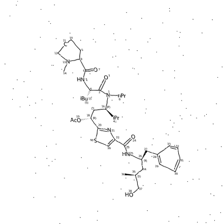 CCCN(C(=O)C(NC(=O)C1CCCCN1C)[C@@H](C)CC)[C@H](C[C@@H](OC(C)=O)c1nc(C(=O)N[C@@H](Cc2ccccc2)C[C@H](C)CO)cs1)C(C)C